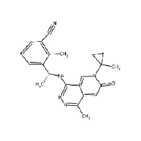 Cc1c(C#N)cccc1[C@@H](C)Nc1nnc(C)c2cc(=O)n(C3(C)CC3)cc12